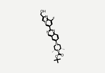 C[C@@H]1CN(c2ccc3nc(-c4cc(F)c5nc(CO)cn5c4)ncc3c2)C[C@H](C)N1C(=O)OC(C)(C)C